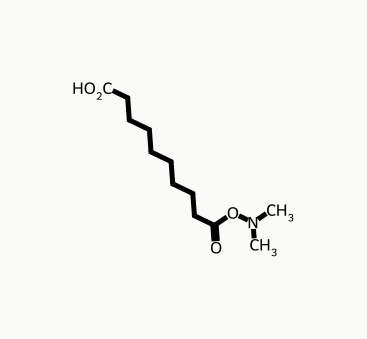 CN(C)OC(=O)CCCCCCCCC(=O)O